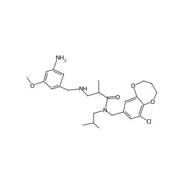 COc1cc(N)cc(CNCC(C)C(=O)N(Cc2cc(Cl)c3c(c2)OCCCO3)CC(C)C)c1